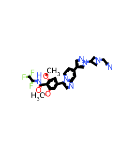 COc1cc(-c2cnc3cc(-c4cnn(C5CN(CC#N)C5)c4)ccn23)cc(OC)c1C(=O)NC(F)C(F)F